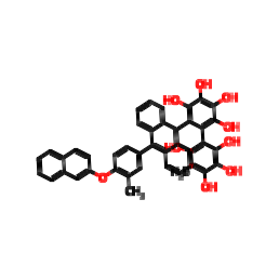 Bc1c(O)c(O)c(O)c(-c2c(O)c(O)c(O)c(O)c2-c2c3ccccc3c(-c3ccc(Oc4ccc5ccccc5c4)c(C)c3)c3ccccc23)c1O